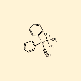 C#C[Si](c1ccccc1)(c1ccccc1)C(C)(C)C